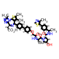 Cc1ncsc1-c1ccc(C(C)NC(=O)[C@@H]2C[C@@H](O)CN2C(=O)C(NC(=O)COc2ccc(-c3ccc(C4=N[C@@H](CC(=O)O)c5nnc(C)n5-c5sc(C)c(C)c54)cc3)cc2)C(C)(C)C)cc1